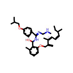 C=C(COc1cccc(C)c1C(O)N/C(=N\CNC)c1ccc(OCC(C)C)cc1)/C(C)=C\C=C/C(C)CC